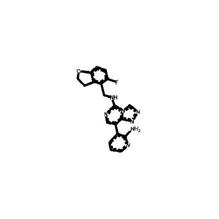 Nc1ncccc1-c1cnc(NCc2c(F)ccc3c2CCO3)n2cnnc12